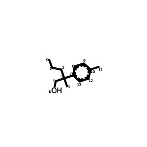 CCCC(C)(CO)c1ccc(C)cc1